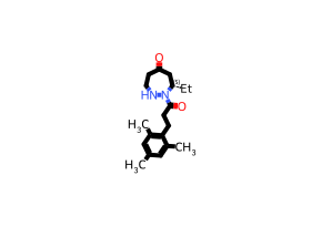 CC[C@H]1CC(=O)CCNN1C(=O)CCc1c(C)cc(C)cc1C